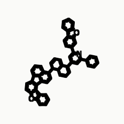 C1=CC2C(=CC=CC2c2ccc3c4c(cccc24)-c2ccc4oc5ccccc5c4c2-3)C(c2cc(-c3ccccc3)nc(-c3ccc4c(c3)oc3ccccc34)c2)=C1